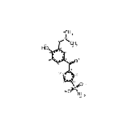 CN(C)Cc1cc(C(=O)c2cc(S(N)(=O)=O)cs2)ccc1O